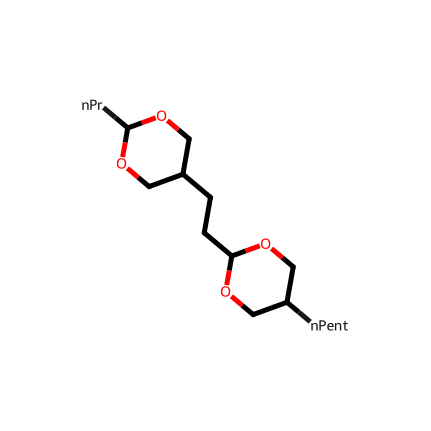 CCCCCC1COC(CCC2COC(CCC)OC2)OC1